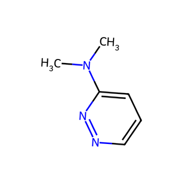 CN(C)c1cccnn1